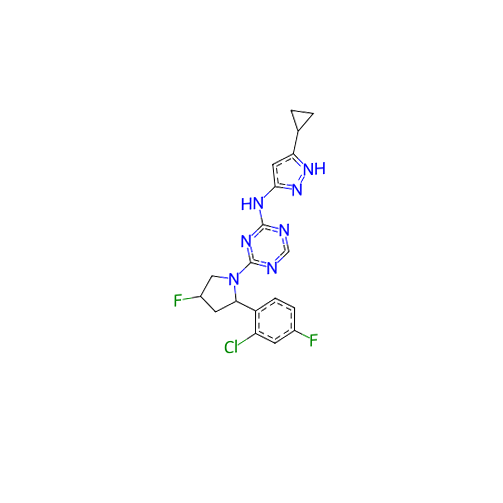 Fc1ccc(C2CC(F)CN2c2ncnc(Nc3cc(C4CC4)[nH]n3)n2)c(Cl)c1